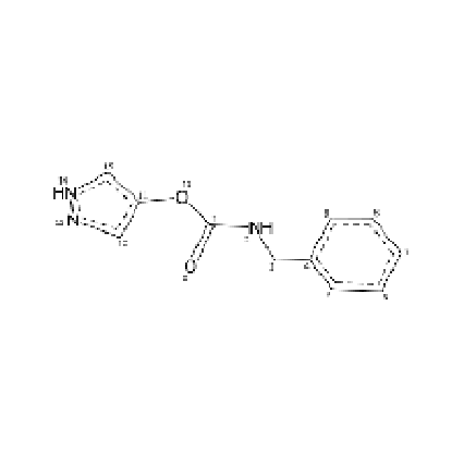 O=C(NCc1ccccc1)Oc1cn[nH]c1